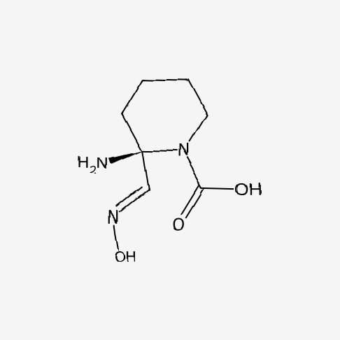 N[C@@]1(C=NO)CCCCN1C(=O)O